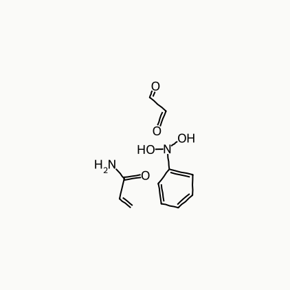 C=CC(N)=O.O=CC=O.ON(O)c1ccccc1